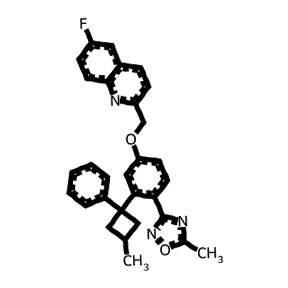 Cc1nc(-c2ccc(OCc3ccc4cc(F)ccc4n3)cc2C2(c3ccccc3)CC(C)C2)no1